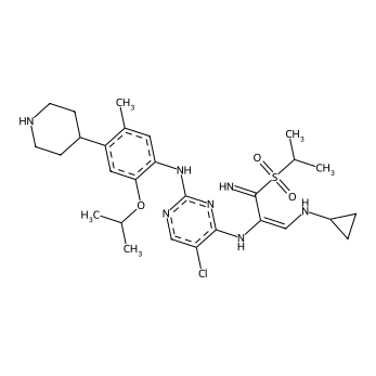 Cc1cc(Nc2ncc(Cl)c(N/C(=C/NC3CC3)C(=N)S(=O)(=O)C(C)C)n2)c(OC(C)C)cc1C1CCNCC1